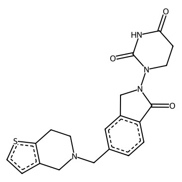 O=C1CCN(N2Cc3cc(CN4CCc5sccc5C4)ccc3C2=O)C(=O)N1